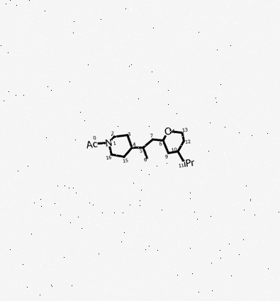 CC(=O)N1CCC(C(C)CC2CC(C(C)C)CCO2)CC1